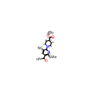 CCCC(=O)c1cc(C#N)c(N2CCC(C(=O)OC(C)(C)C)CC2)nc1SC